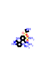 N/N=C(\NN)c1c(-c2cccc3[nH]nc(N)c23)ccc(S(=O)(=O)C2CNC2)c1S(N)(=O)=O